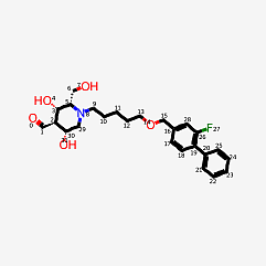 O=C[C@H]1[C@H](O)[C@H](CO)N(CCCCCOCc2ccc(-c3ccccc3)c(F)c2)C[C@@H]1O